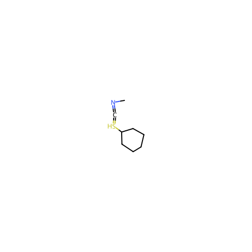 CN=C=[SH]C1CCCCC1